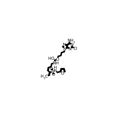 C/C=C(\C=C/CCN[C@H](O)OCCCCn1cnc2c(N)nc(Cl)nc21)S(=O)(=O)NCc1ccco1